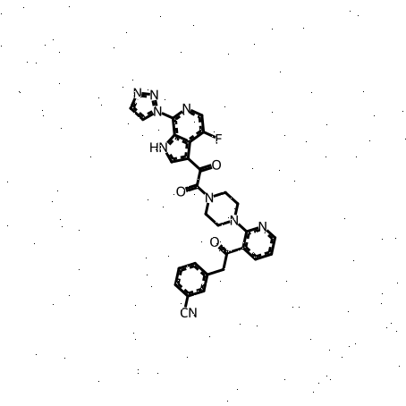 N#Cc1cccc(CC(=O)c2cccnc2N2CCN(C(=O)C(=O)c3c[nH]c4c(-n5ccnn5)ncc(F)c34)CC2)c1